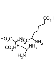 CCC(N)N.NC(C(=O)O)C(=O)O.NC(CCCCC(=O)O)C(=O)O